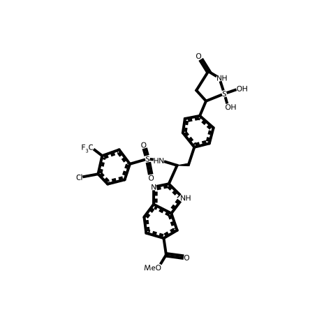 COC(=O)c1ccc2nc([C@H](Cc3ccc(C4CC(=O)NS4(O)O)cc3)NS(=O)(=O)c3ccc(Cl)c(C(F)(F)F)c3)[nH]c2c1